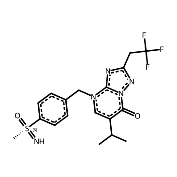 CC(C)c1cn(Cc2ccc([S@@](C)(=N)=O)cc2)c2nc(CC(F)(F)F)nn2c1=O